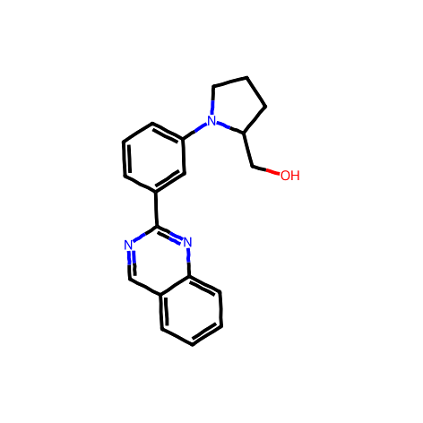 OCC1CCCN1c1cccc(-c2ncc3ccccc3n2)c1